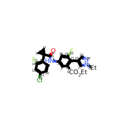 CCOC(=O)c1cc(NC(=O)C2(c3ccc(Cl)cc3F)CC2)cc(F)c1-c1cnn(CC)c1